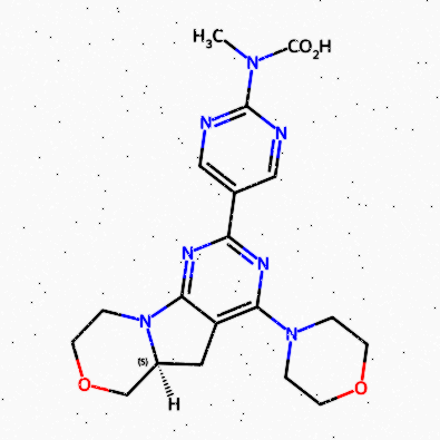 CN(C(=O)O)c1ncc(-c2nc(N3CCOCC3)c3c(n2)N2CCOC[C@@H]2C3)cn1